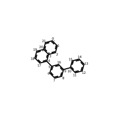 [c]1ccc2c(-c3cccc(-c4ccccc4)c3)cccc2c1